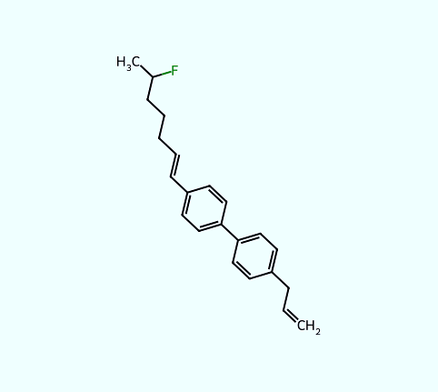 C=CCc1ccc(-c2ccc(C=CCCCC(C)F)cc2)cc1